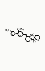 COc1cc(/C=C2\CCCN3C(=O)C4(CCCCC4)ON=C23)ccc1-n1cnc(C)c1